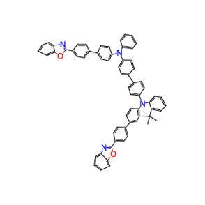 CC1(C)c2ccccc2N(c2ccc(-c3ccc(N(c4ccccc4)c4ccc(-c5ccc(-c6nc7ccccc7o6)cc5)cc4)cc3)cc2)c2ccc(-c3ccc(-c4nc5ccccc5o4)cc3)cc21